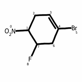 O=[N+]([O-])C1CC=C(Br)CC1F